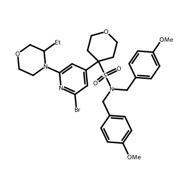 CCC1COCCN1c1cc(C2(S(=O)(=O)N(Cc3ccc(OC)cc3)Cc3ccc(OC)cc3)CCOCC2)cc(Br)n1